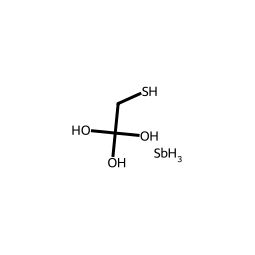 OC(O)(O)CS.[SbH3]